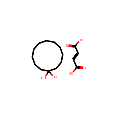 O=C(O)/C=C/C(=O)O.OC1(O)CCCCCCCCCCC1